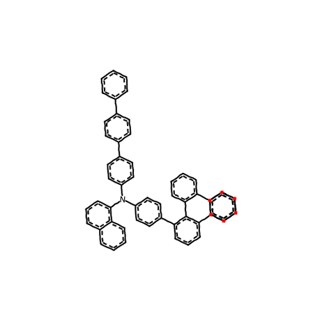 c1ccc(-c2ccc(-c3ccc(N(c4ccc(-c5cccc(-c6ccccc6)c5-c5ccccc5-c5ccccc5)cc4)c4cccc5ccccc45)cc3)cc2)cc1